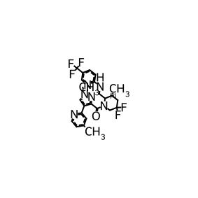 Cc1ccnc(-c2cn(C)nc2C(=O)N2CC(F)(F)C[C@@H](C)C2CNc2ccc(C(F)(F)F)cn2)c1